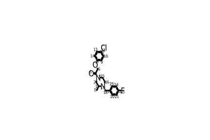 CC1CN(C(=O)COc2ccc(Cl)cc2)CCN1Cc1ccc(F)cc1